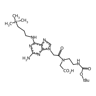 CC(C)(C)OC(=O)NCCN(CC(=O)O)C(=O)Cn1cnc2c(NCCC[N+](C)(C)C)nc(N)nc21